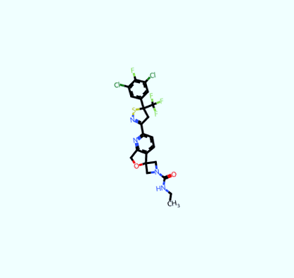 CCNC(=O)N1CC2(C1)OCc1nc(C3=NSC(c4cc(Cl)c(F)c(Cl)c4)(C(F)(F)F)C3)ccc12